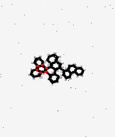 c1ccc(-c2cccc3ccccc23)c(-c2c(-c3cccc4c3ccc3ccccc34)cc3ccccc3c2-c2cccc3ccccc23)c1